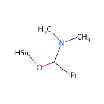 CC(C)C([O][SnH])N(C)C